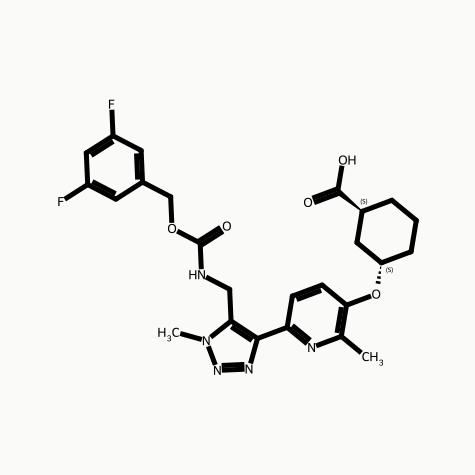 Cc1nc(-c2nnn(C)c2CNC(=O)OCc2cc(F)cc(F)c2)ccc1O[C@H]1CCC[C@H](C(=O)O)C1